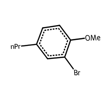 CCCc1ccc(OC)c(Br)c1